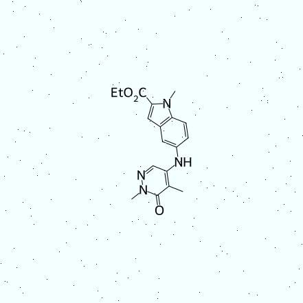 CCOC(=O)c1cc2cc(Nc3cnn(C)c(=O)c3C)ccc2n1C